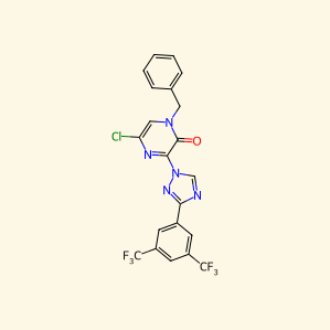 O=c1c(-n2cnc(-c3cc(C(F)(F)F)cc(C(F)(F)F)c3)n2)nc(Cl)cn1Cc1ccccc1